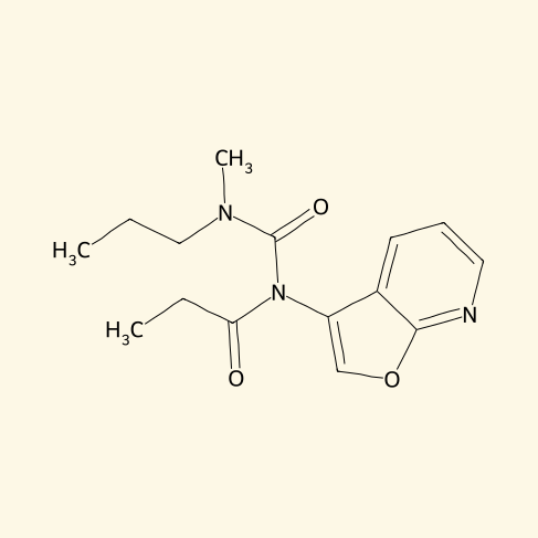 CCCN(C)C(=O)N(C(=O)CC)c1coc2ncccc12